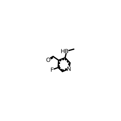 CBc1cncc(F)c1C=O